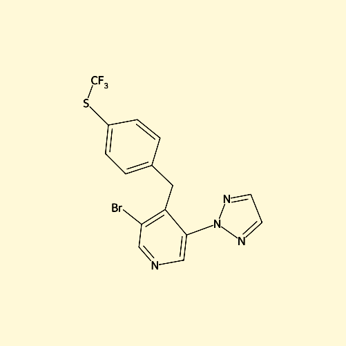 FC(F)(F)Sc1ccc(Cc2c(Br)cncc2-n2nccn2)cc1